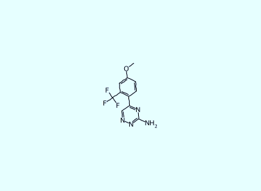 COc1ccc(-c2cnnc(N)n2)c(C(F)(F)F)c1